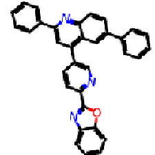 c1ccc(-c2ccc3nc(-c4ccccc4)cc(-c4ccc(-c5nc6ccccc6o5)nc4)c3c2)cc1